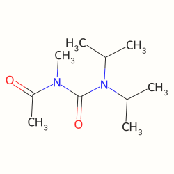 CC(=O)N(C)C(=O)N(C(C)C)C(C)C